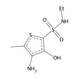 CCNS(=O)(=O)c1sc(C)c(N)c1O